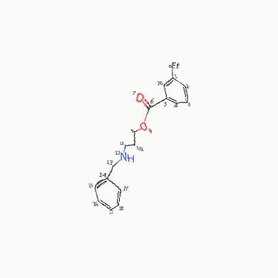 CCc1cccc(C(=O)OCCCNCc2ccccc2)c1